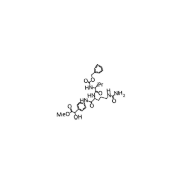 COC(=O)C(O)c1ccc(NC(=O)C(CCCNC(N)=O)NC(=O)C(NC(=O)OCc2ccccc2)C(C)C)cc1